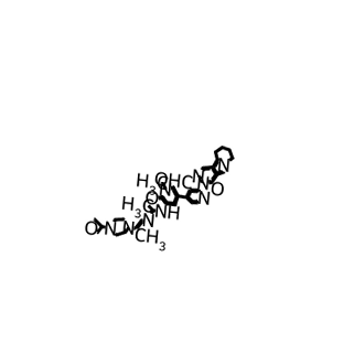 C/C(=C\N=C(/C)Nc1cc(-c2ccnc(-n3ncc4c5n(cc4c3=O)CCCC5)c2C=O)cn(C)c1=O)N1CCN(C2COC2)CC1